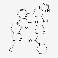 O=C(c1ccc(Nc2cc(-c3cccc(N4CCc5cc(C6CC6)ccc5C4=O)c3CO)cn3ccnc23)nc1)N1CCOCC1